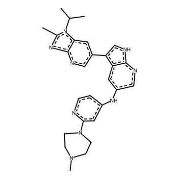 Cc1nc2ncc(-c3c[nH]c4ncc(Nc5ccnc(N6CCN(C)CC6)c5)cc34)cc2n1C(C)C